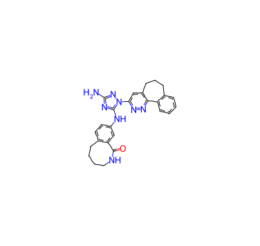 Nc1nc(Nc2ccc3c(c2)C(=O)NCCCC3)n(-c2cc3c(nn2)-c2ccccc2CCC3)n1